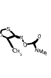 CNC(=O)ON=C1SCOC1C